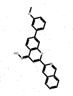 COc1cccc(-c2ccc3/c(=N\O)cc(-c4cc5ccccc5cn4)oc3c2)c1